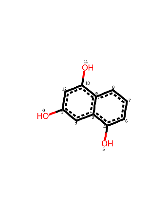 Oc1[c]c2c(O)cccc2c(O)c1